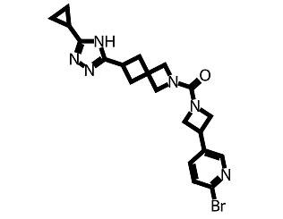 O=C(N1CC(c2ccc(Br)nc2)C1)N1CC2(CC(c3nnc(C4CC4)[nH]3)C2)C1